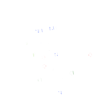 N=C/C(C(=O)N(CC(=O)c1c(Cl)cncc1Cl)CC1CCOCC1)=C(\NC1CCCCC1)C(F)F